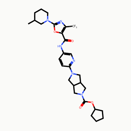 CC1CCCN(c2nc(C(F)(F)F)c(C(=O)Nc3ccc(N4CC5CN(C(=O)OC6CCCC6)CC5C4)nc3)o2)C1